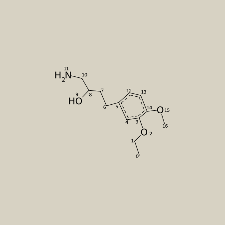 CCOc1cc(CCC(O)CN)ccc1OC